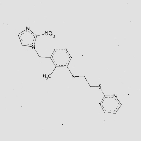 Cc1c(Cn2ccnc2[N+](=O)[O-])cccc1SCCSc1ncccn1